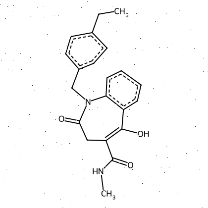 CCc1ccc(CN2C(=O)CC(C(=O)NC)=C(O)c3ccccc32)cc1